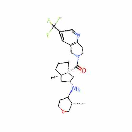 C[C@@H]1COCC[C@H]1N[C@@H]1C[C@H]2CCC[C@@]2(C(=O)N2CCc3ncc(C(F)(F)F)cc3C2)C1